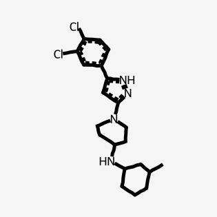 CC1CCCC(NC2CCN(c3cc(-c4ccc(Cl)c(Cl)c4)[nH]n3)CC2)C1